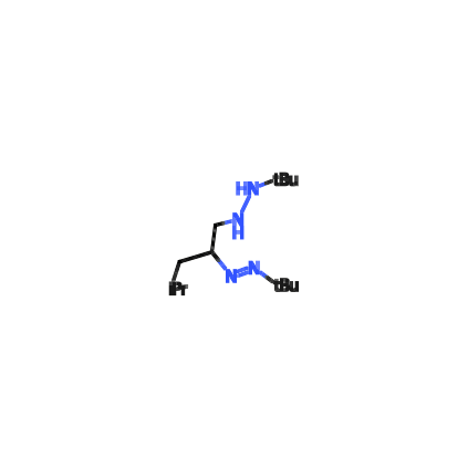 CC(C)CC(CNNC(C)(C)C)N=NC(C)(C)C